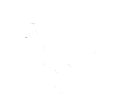 C=CC(=O)N1C[C@H](C)N(C2=NS(=O)(=O)N(c3c(C)cnn3C(C)C)c3nc(-c4ccccc4F)c(Cl)cc32)C[C@H]1C